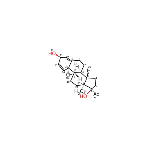 CC(=O)[C@@]1(O)CC[C@H]2[C@@H]3CCC4=C[C@H](O)C=C[C@]4(C)[C@H]3CC[C@@]21C